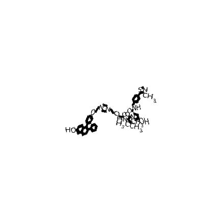 Cc1ncsc1-c1ccc(CNC(=O)[C@@H]2C[C@@H](O)CN2C(=O)[C@@H](NC(=O)COCCN2CCN(CCOc3ccc(C4c5ccc(O)cc5CCC4c4ccccc4)cc3)CC2)C(C)(C)C)cc1